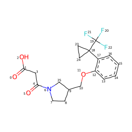 O=C(O)CC(=O)N1CCC(COc2ccccc2C2(C(F)(F)F)CC2)C1